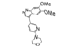 COc1cc2nncc(-c3ccc(N4CCOCC4)nc3)c2cc1OC